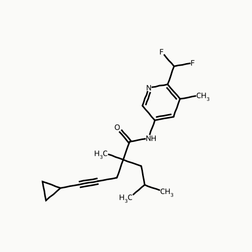 Cc1cc(NC(=O)C(C)(CC#CC2CC2)CC(C)C)cnc1C(F)F